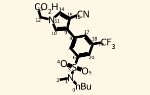 CCCCN(C)S(=O)(=O)c1cc(-c2cn(CC(=O)O)cc2C#N)cc(C(F)(F)F)c1